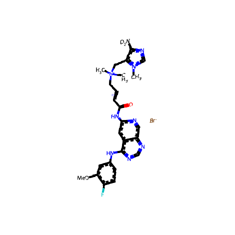 COc1cc(Nc2ncnc3cnc(NC(=O)/C=C/C[N+](C)(C)Cc4c([N+](=O)[O-])ncn4C)cc23)ccc1F.[Br-]